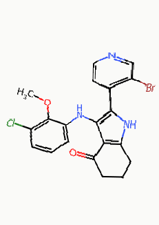 COc1c(Cl)cccc1Nc1c(-c2ccncc2Br)[nH]c2c1C(=O)CCC2